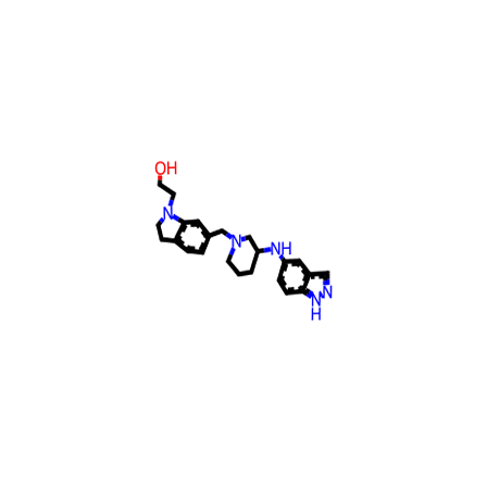 OCCN1CCc2ccc(CN3CCCC(Nc4ccc5[nH]ncc5c4)C3)cc21